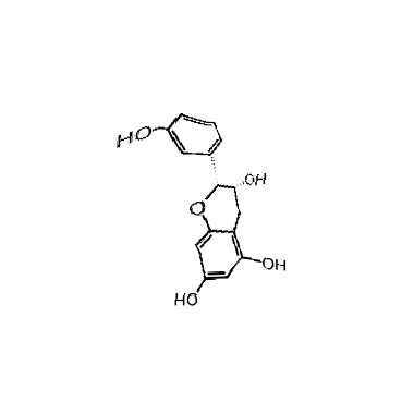 Oc1cccc([C@H]2Oc3cc(O)cc(O)c3C[C@H]2O)c1